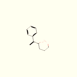 C=C(c1ccccc1)C1CCCOO1